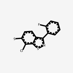 Fc1ccccc1-c1nsc2c(Cl)c([S])ccc12